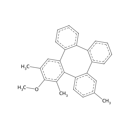 COc1c(C)cc2c(c1C)-c1ccc(C)cc1-c1ccccc1-c1ccccc1-2